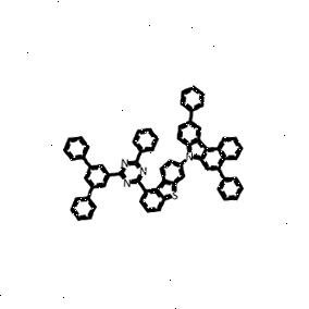 c1ccc(-c2cc(-c3ccccc3)cc(-c3nc(-c4ccccc4)nc(-c4cccc5sc6cc(-n7c8ccc(-c9ccccc9)cc8c8c9ccccc9c(-c9ccccc9)cc87)ccc6c45)n3)c2)cc1